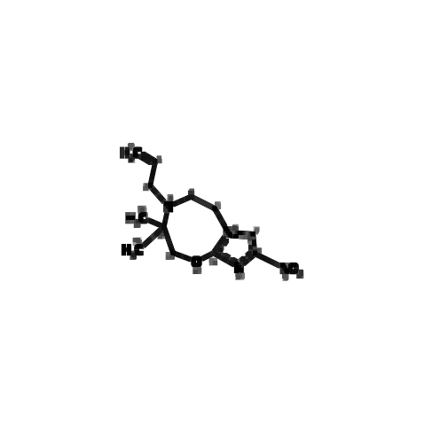 C=CCN1CCn2cc([N+](=O)[O-])nc2OCC1(C)C